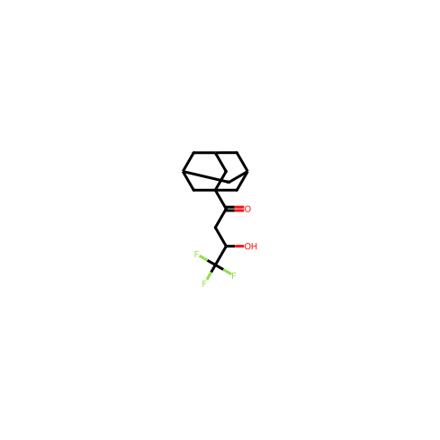 O=C(CC(O)C(F)(F)F)C12CC3CC(CC(C3)C1)C2